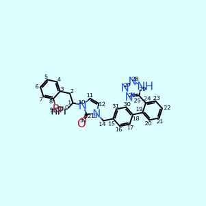 CCCC(Cc1ccccc1Br)n1ccn(Cc2ccc(-c3ccccc3-c3nnn[nH]3)cc2)c1=O